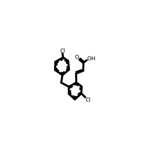 O=C(O)C=Cc1cc(Cl)ccc1Cc1ccc(Cl)cc1